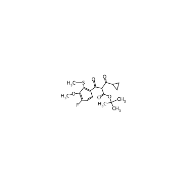 COc1c(F)ccc(C(=O)C(C(=O)OC(C)(C)C)C(=O)C2CC2)c1SC